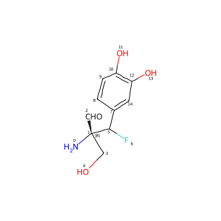 N[C@@](C=O)(CO)C(F)c1ccc(O)c(O)c1